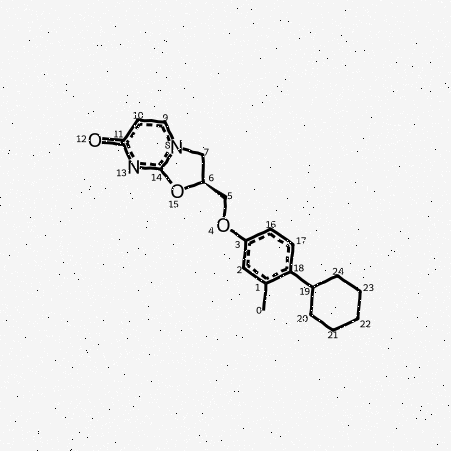 Cc1cc(OC[C@@H]2Cn3ccc(=O)nc3O2)ccc1C1CCCCC1